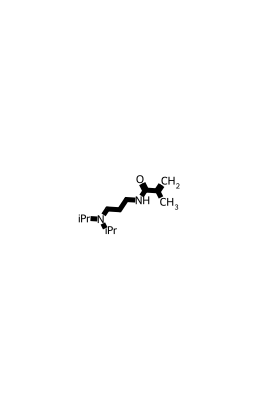 C=C(C)C(=O)NCCCN(C(C)C)C(C)C